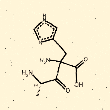 C[C@H](N)C(=O)C(N)(Cc1c[nH]cn1)C(=O)O